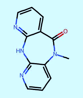 CN1C(=O)c2cccnc2Nc2ncccc21